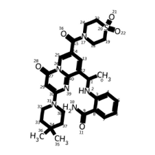 CC(Nc1ccccc1C(N)=O)c1cc(C(=O)N2CCS(=O)(=O)CC2)cn2c(=O)cc(N3CCC(C)(C)CC3)nc12